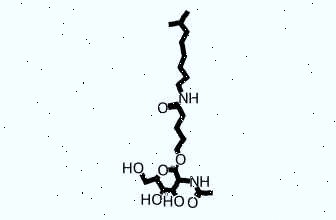 CC(=O)NC1C(O)[C@@H](O)C(CO)O[C@H]1OCCCCC(=O)NCCCCCCC(C)C